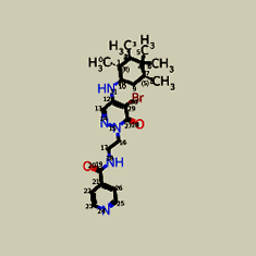 C[C@@H]1[C@@H](C)C(C)(C)[C@@H](C)C[C@H]1Nc1cnn(CCNC(=O)c2ccncc2)c(=O)c1Br